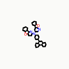 c1ccc2c(c1)cc(-c1ccc(N(c3cnc4oc5ccccc5c4c3)c3ccc4oc5ccccc5c4n3)cc1)c1ccccc12